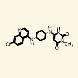 Cn1c(=O)cc(N[C@H]2CC[C@@H](Nc3ccnc4cc(Cl)ccc34)CC2)[nH]c1=O